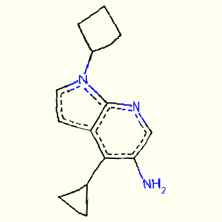 Nc1cnc2c(ccn2C2CCC2)c1C1CC1